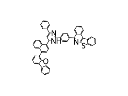 C1=C(c2ccccc2)N=C(c2ccc(-c3nc4sc5ccccc5c4c4ccccc34)cc2)NC1c1ccc(-c2cccc3c2oc2ccccc23)c2ccccc12